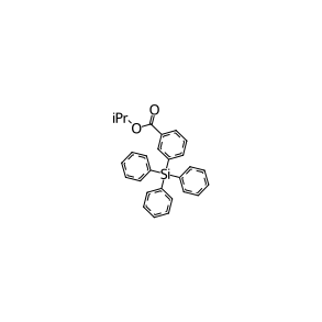 CC(C)OC(=O)c1cccc([Si](c2ccccc2)(c2ccccc2)c2ccccc2)c1